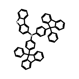 c1ccc(C2(c3ccc(N(c4ccc(C5(c6ccccc6)c6ccccc6-c6ccccc65)cc4)c4ccc5sc6ccccc6c5c4)cc3)c3ccccc3-c3ccccc32)cc1